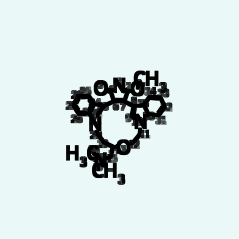 COC1=NC(=O)C2=C1C1=CN(CCOC(CN(C)C)CCN3CC2c2ccccc23)C2C=CC=CC12